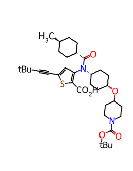 CC(C)(C)C#Cc1cc(N(C(=O)[C@H]2CC[C@H](C)CC2)[C@H]2CC[C@H](OC3CCN(C(=O)OC(C)(C)C)CC3)CC2)c(C(=O)O)s1